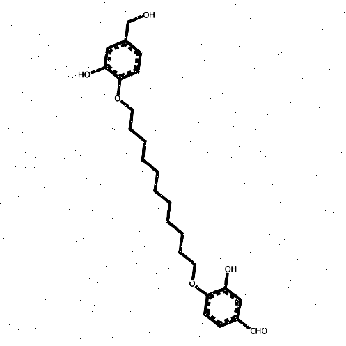 O=Cc1ccc(OCCCCCCCCCCCOc2ccc(CO)cc2O)c(O)c1